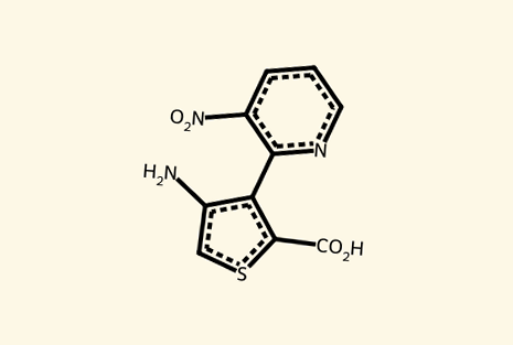 Nc1csc(C(=O)O)c1-c1ncccc1[N+](=O)[O-]